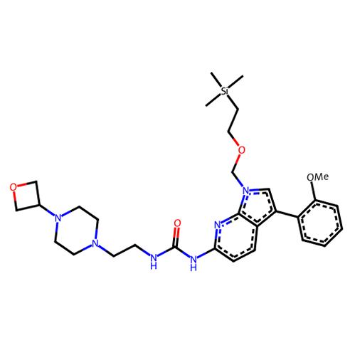 COc1ccccc1-c1cn(COCC[Si](C)(C)C)c2nc(NC(=O)NCCN3CCN(C4COC4)CC3)ccc12